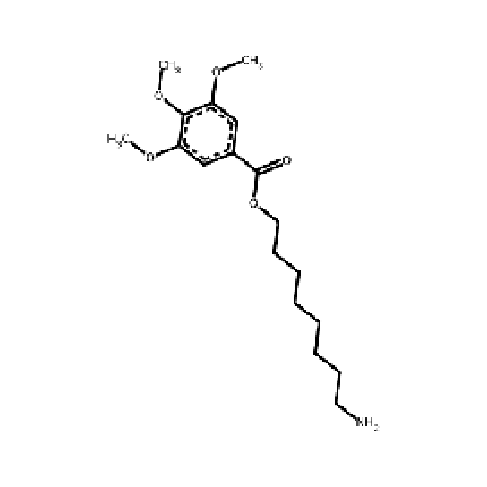 COc1cc(C(=O)OCCCCCCCCN)cc(OC)c1OC